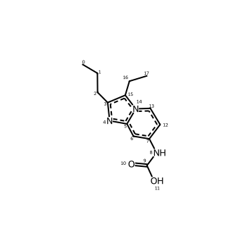 CCCc1nc2cc(NC(=O)O)ccn2c1CC